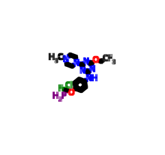 CN1CCN(c2nc(Nc3ccc(OC(F)(P)Cl)cc3)nc(OCC(F)(F)F)n2)CC1